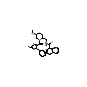 CNC1CCC(CNC(=O)c2cccc3cccnc23)N(C(=O)c2sc(C)nc2-c2ccccc2)C1